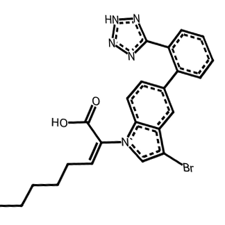 CCCCCC=C(C(=O)O)n1cc(Br)c2cc(-c3ccccc3-c3nn[nH]n3)ccc21